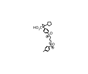 Cc1ccc(S(=O)(=O)OCCCS(=O)(=O)c2ccc(C3(C(=O)O)CC3C3CCCC3)cc2)cc1